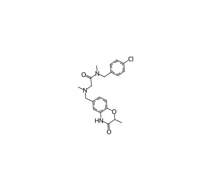 CC1Oc2ccc(CN(C)CC(=O)N(C)Cc3ccc(Cl)cc3)cc2NC1=O